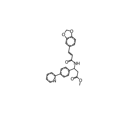 COC(=O)CC(NC(=O)/C=C/c1ccc2c(c1)OCO2)c1ccc(-c2ccccn2)cc1